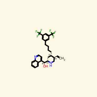 C=C[C@H]1CN[C@H]([C@H](O)c2ccnc3ccccc23)C[C@@H]1CCCCc1cc(C(F)(F)F)cc(C(F)(F)F)c1